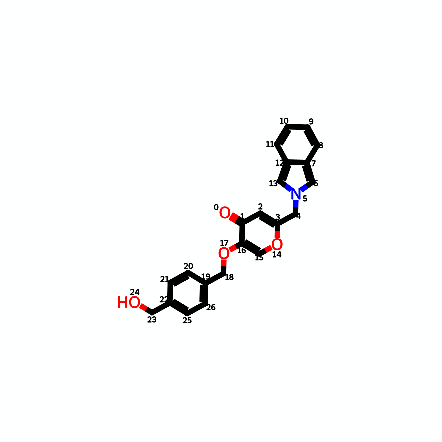 O=c1cc(Cn2cc3ccccc3c2)occ1OCc1ccc(CO)cc1